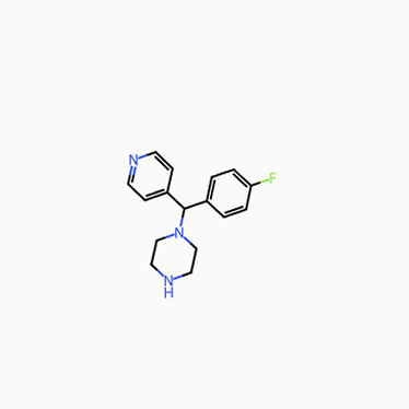 Fc1ccc(C(c2ccncc2)N2CCNCC2)cc1